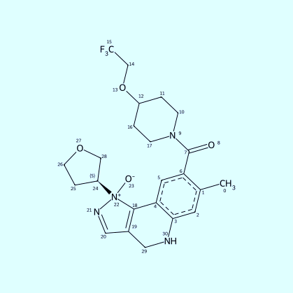 Cc1cc2c(cc1C(=O)N1CCC(OCC(F)(F)F)CC1)C1=C(C=N[N+]1([O-])[C@H]1CCOC1)CN2